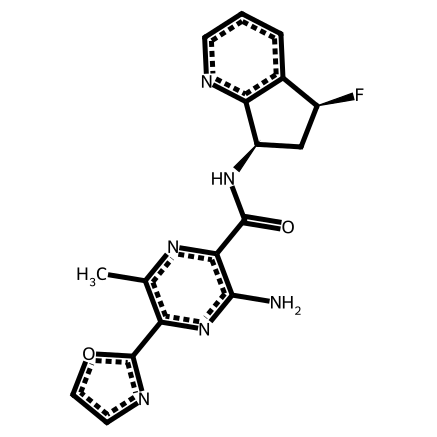 Cc1nc(C(=O)N[C@@H]2C[C@H](F)c3cccnc32)c(N)nc1-c1ncco1